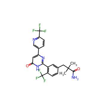 CC(C)(Cc1ccc(C(F)(F)F)c(-c2nc(-c3ccc(C(F)(F)F)nc3)cc(=O)[nH]2)c1)C(N)=O